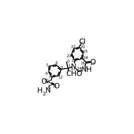 CC(C=O)(c1cccc(S(N)(=O)=O)c1)N1CNC(=O)c2cc(Cl)ccc21